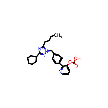 CCCCc1nc(C2CCCCC2)nn1Cc1ccc(-c2ncccc2OC(=O)O)cc1